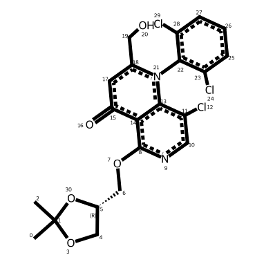 CC1(C)OC[C@@H](COc2ncc(Cl)c3c2c(=O)cc(CO)n3-c2c(Cl)cccc2Cl)O1